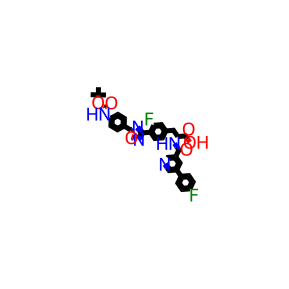 CC(C)(C)OC(=O)Nc1ccc(-c2nc(-c3ccc(CC(NC(=O)c4cncc(-c5ccc(F)cc5)c4)C(=O)O)cc3F)no2)cc1